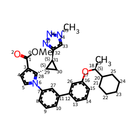 COC(=O)c1ccn(-c2cccc(-c3cccc(O[C@@H](C)C4CCCCC4)c3)c2)c1[C@H]1C[C@@H]1c1cn(C)nn1